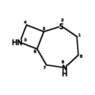 C1CSC2CNC2CN1